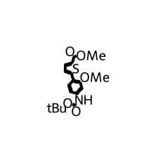 COC(=O)c1ccc(-c2ccc(NC(=O)OC(C)(C)C)cc2OC)s1